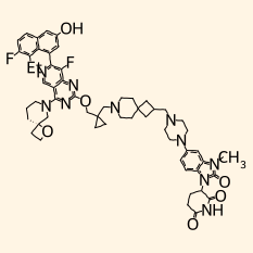 CCc1c(F)ccc2cc(O)cc(-c3ncc4c(N5CCC[C@]6(CCO6)C5)nc(OCC5(CN6CCC7(CC6)CC(CN6CCN(c8ccc9c(c8)n(C)c(=O)n9C8CCC(=O)NC8=O)CC6)C7)CC5)nc4c3F)c12